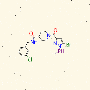 O=C(NCc1cccc(Cl)c1)C1CCN(C(=O)c2cc(Br)n(PI)n2)CC1